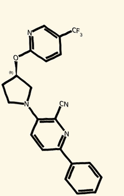 N#Cc1nc(-c2ccccc2)ccc1N1CC[C@@H](Oc2ccc(C(F)(F)F)cn2)C1